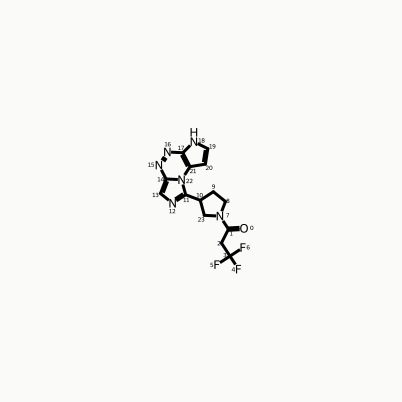 O=C(CC(F)(F)F)N1CCC(c2ncc3nnc4[nH]ccc4n23)C1